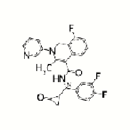 CC1=C(C(=O)N[C@H](c2ccc(F)c(F)c2)C2CC2=O)c2cccc(F)c2CN1c1cccnc1